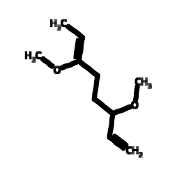 C=CC(CCC(=CC)OC)OC